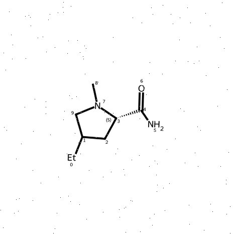 CCC1C[C@@H](C(N)=O)N(C)C1